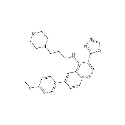 COc1ccc(-c2ccc3ncc(-c4nnco4)c(NCCCN4CCOCC4)c3c2)cc1